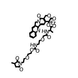 CC[C@@]1(OC(=O)C(C)NC(=O)COCCNC(=O)OCCOCCN2C(=O)CC(C)C2=O)C(=O)OCc2c1cc1n(c2=O)Cc2cc3ccccc3nc2-1